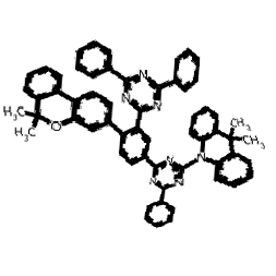 CC1(C)Oc2cc(-c3ccc(-c4nc(-c5ccccc5)nc(N5c6ccccc6C(C)(C)c6ccccc65)n4)cc3-c3nc(-c4ccccc4)nc(-c4ccccc4)n3)ccc2-c2ccccc21